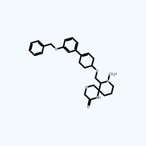 O=C1COCC2(CCCN(C(=O)O)C2COC2CC=C(c3cccc(OCc4ccccc4)c3)CC2)N1